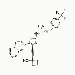 N[C@@H](CNc1nc(C#CC2(O)CCC2)c(-c2ccc3cnccc3c2)s1)Cc1ccc(C(F)(F)F)cc1